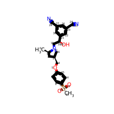 C[C@@H]1C[C@H](COc2ccc(S(C)(=O)=O)cc2)CN1C[C@H](O)c1cc(C#N)cc(C#N)c1